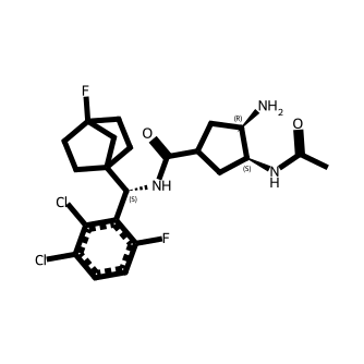 CC(=O)N[C@H]1CC(C(=O)N[C@H](c2c(F)ccc(Cl)c2Cl)C23CCC(F)(CC2)C3)C[C@H]1N